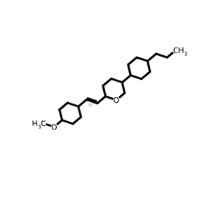 CCCC1CCC(C2CCC(/C=C/C3CCC(OC)CC3)OC2)CC1